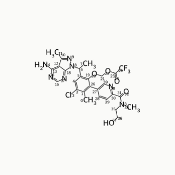 Cc1c(Cl)cc(C(C)n2nc(C)c3c(N)ncnc32)c(OCOC(=O)C(F)(F)F)c1-c1ccc(C(=O)N(C)CCO)nc1